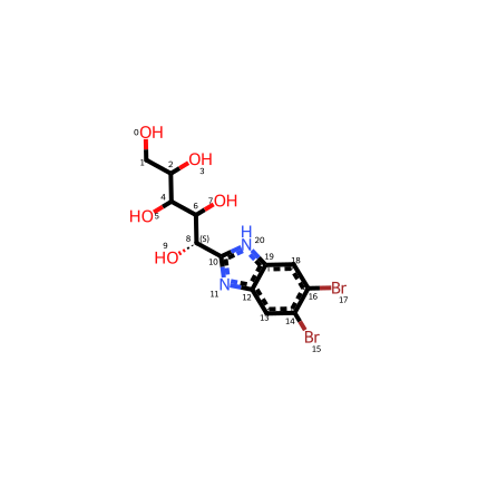 OCC(O)C(O)C(O)[C@@H](O)c1nc2cc(Br)c(Br)cc2[nH]1